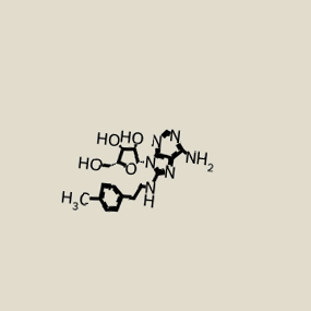 Cc1ccc(CCNc2nc3c(N)ncnc3n2[C@@H]2O[C@H](CO)[C@@H](O)[C@H]2O)cc1